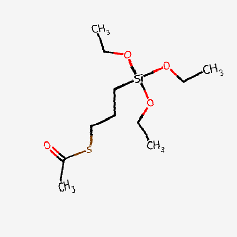 CCO[Si](CCCSC(C)=O)(OCC)OCC